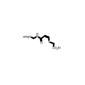 CCCCCCCCNC(=O)/C=C\SCC(=O)OCC